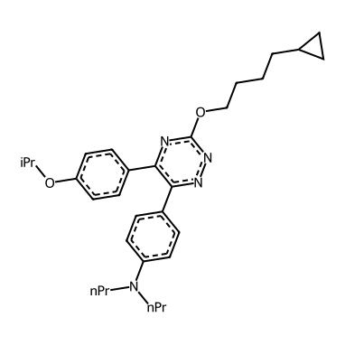 CCCN(CCC)c1ccc(-c2nnc(OCCCCC3CC3)nc2-c2ccc(OC(C)C)cc2)cc1